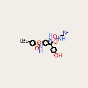 CN(C)CCNC(=O)Oc1[nH]c2ccc(NS(=O)(=O)c3ccc(C(C)(C)C)cc3)cc2c1-c1ccc(O)cc1